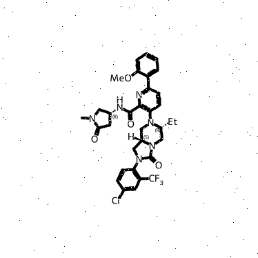 CC[C@@H]1CN2C(=O)N(c3ccc(Cl)cc3C(F)(F)F)C[C@@H]2CN1c1ccc(-c2ccccc2OC)nc1C(=O)N[C@@H]1CC(=O)N(C)C1